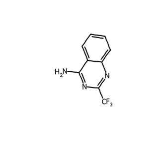 Nc1nc(C(F)(F)F)nc2ccccc12